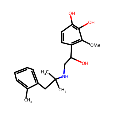 COc1c(C(O)CNC(C)(C)Cc2ccccc2C)ccc(O)c1O